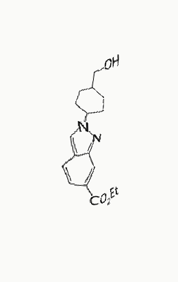 CCOC(=O)c1ccc2cn(C3CCC(CO)CC3)nc2c1